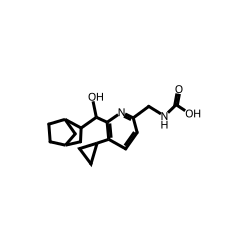 O=C(O)NCc1ccc(C2CC2)c(C(O)C2CC3CCC2C3)n1